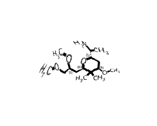 COC[C@H](C[C@H]1O[C@H](C(C)N)C[C@@H](OC)C1(C)C)OC